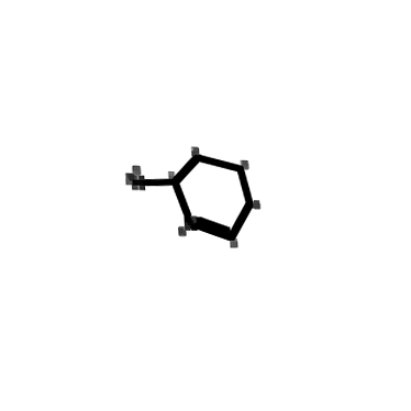 [2H]C1CCCC=N1